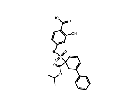 CC(C)OC(=O)C1(S(=O)(=O)Nc2ccc(C(=O)O)c(O)c2)C=CC=C(c2ccccc2)C1